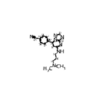 CN(C)CCCNc1cc(-c2ccc(C#N)cc2)n2ncnc2n1